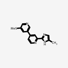 CSc1cncc(-c2ccnc(-c3ncc(C)[nH]3)c2)c1